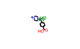 CN1CCN(Cc2ccc(C(=O)O)cc2)CC1.Cl.Cl.Cl